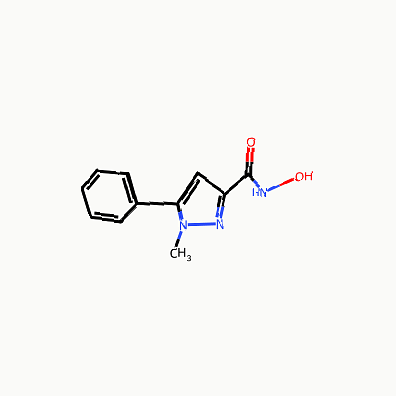 Cn1nc(C(=O)NO)cc1-c1ccccc1